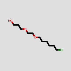 OCCCOCCOCCCCCCCl